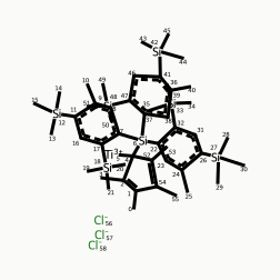 CC1=C(C)[C]([Ti+3])([Si](c2cc(C)c([Si](C)(C)C)cc2[Si](C)(C)C)(c2cc(C)c([Si](C)(C)C)cc2[Si](C)(C)C)c2cc(C)c([Si](C)(C)C)cc2[Si](C)(C)C)C(C)=C1C.[Cl-].[Cl-].[Cl-]